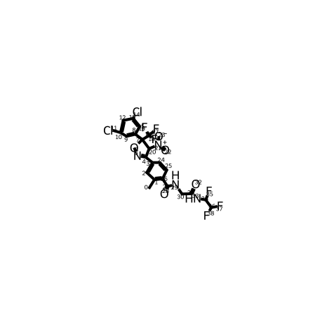 Cc1cc(C2=NOC(c3cc(Cl)cc(Cl)c3)(C(F)(F)F)C2[N+](=O)[O-])ccc1C(=O)NCC(=O)NC(F)C(F)F